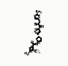 Cc1ncc(CC(=O)Nc2cc([C@H]3CC[C@@H](OC(=O)N4C[C@H](C)[C@@H]4C)C3)[nH]n2)s1